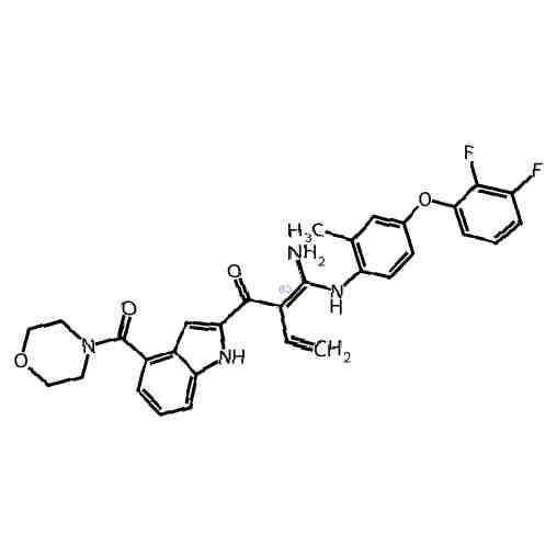 C=C/C(C(=O)c1cc2c(C(=O)N3CCOCC3)cccc2[nH]1)=C(/N)Nc1ccc(Oc2cccc(F)c2F)cc1C